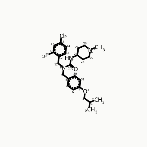 CC(C)COc1ccc(CN(Cc2ccc(Cl)cc2F)C(=O)NC2CCN(C)CC2)cc1